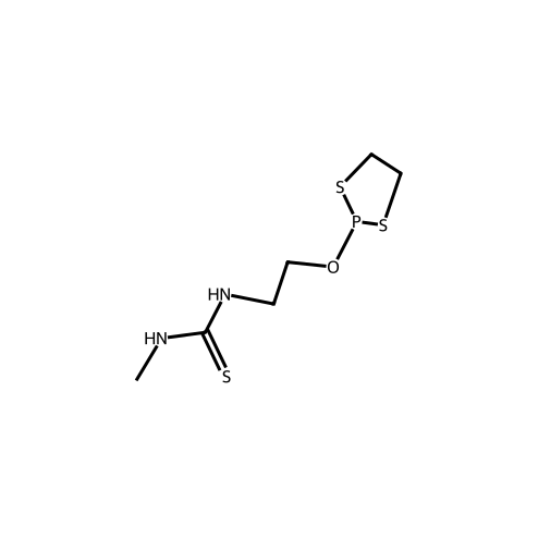 CNC(=S)NCCOP1SCCS1